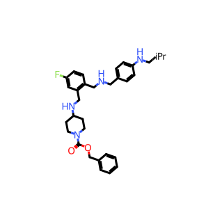 CC(C)CNc1ccc(CNCc2ccc(F)cc2CNC2CCN(C(=O)OCc3ccccc3)CC2)cc1